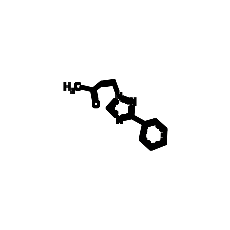 CC(=O)/C=C\n1cnc(-c2ccccc2)n1